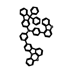 c1ccc(C2(c3ccccc3)c3ccccc3-c3ccc(N(c4ccc(-c5cccc6oc7ccccc7c56)cc4)c4cccc(-c5ccc6c(c5)c5cccc7c5n6-c5ccccc5O7)c4)cc32)cc1